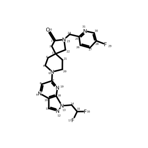 O=C1CC2(CCN(c3cnc4cnn(CC(F)F)c4n3)CC2)CN1Cc1ccc(F)cn1